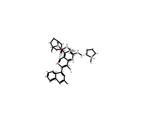 Cc1cc(-c2ncc3c(N4CC5CCC(C)(C4)N5C(=O)OC(C)(C)C)nc(OC[C@@H]4CCCN4C)nc3c2F)c2ccccc2c1